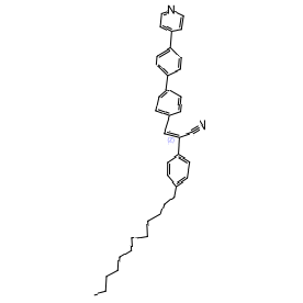 CCCCCCCCCCCCc1ccc(/C(C#N)=C/c2ccc(-c3ccc(-c4ccncc4)cc3)cc2)cc1